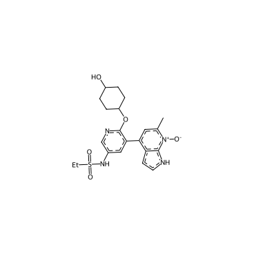 CCS(=O)(=O)Nc1cnc(OC2CCC(O)CC2)c(-c2cc(C)[n+]([O-])c3[nH]ccc23)c1